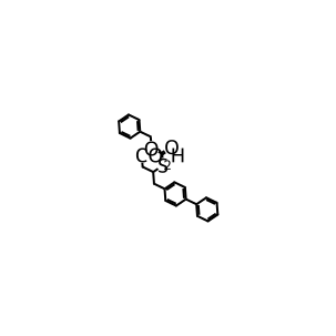 O=C(O)CC(Cc1ccc(-c2ccccc2)cc1)SC(=O)OCc1ccccc1